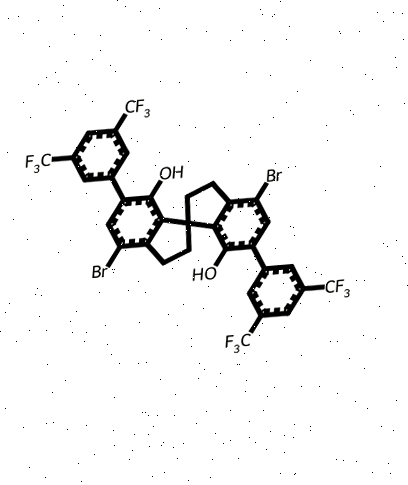 Oc1c(-c2cc(C(F)(F)F)cc(C(F)(F)F)c2)cc(Br)c2c1C1(CC2)CCc2c(Br)cc(-c3cc(C(F)(F)F)cc(C(F)(F)F)c3)c(O)c21